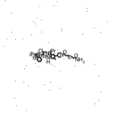 Cc1cc(Nc2ncc(Cl)c(Nc3ccccc3S(=O)(=O)C(C)C)n2)c(OC(C)C)cc1C1CCN(C(=O)CCOCCC(N)=O)CC1